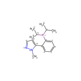 CC(C)P(c1ccccc1-c1ccnn1C)C(C)C